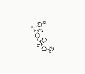 Cc1ncc(Cl)cc1C(=O)N[C@H]1CC[C@H](Cn2c(=O)n(-c3cccc(-c4nnco4)c3)c3ccccc32)CC1